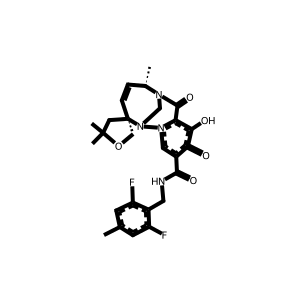 Cc1cc(F)c(CNC(=O)c2cn3c(c(O)c2=O)C(=O)N2CN3[C@@]3(C=C[C@@H]2C)COC(C)(C)C3)c(F)c1